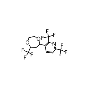 FC(F)(F)c1ccc(C2CC(C(F)(F)F)OCCO2)c(C(F)(F)F)n1